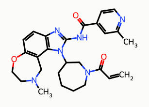 C=CC(=O)N1CCCCC(n2c(NC(=O)c3ccnc(C)c3)nc3ccc4c(c32)CN(C)CCO4)C1